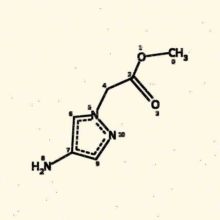 COC(=O)Cn1cc(N)cn1